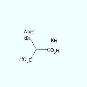 CC(C)(C)C(C(=O)O)C(=O)O.[KH].[NaH]